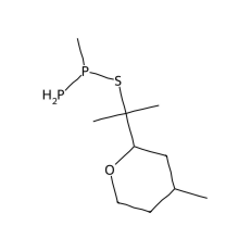 CC1CCOC(C(C)(C)SP(C)P)C1